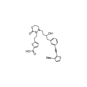 N#Cc1ccsc1C#Cc1cccc(CC(O)CCN2CCSC(=O)N2CCc2ccc(C(=O)O)s2)c1